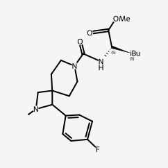 CC[C@H](C)[C@H](NC(=O)N1CCC2(CC1)CN(C)C2c1ccc(F)cc1)C(=O)OC